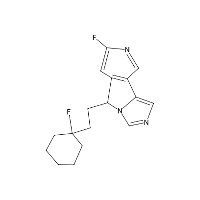 Fc1cc2c(cn1)-c1cncn1C2CCC1(F)CCCCC1